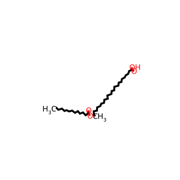 CCCCCCCCCCCCCC(=O)OC(C)CCCCCCCCCCCCCCCCCCCCCC(=O)O